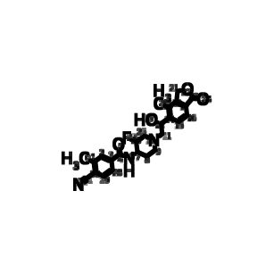 Cc1cc(C(=O)N[C@@H]2CCN(C[C@H](O)c3ccc4c(c3C)COC4=O)C[C@@H]2F)ccc1C#N